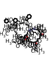 CCNC(=O)N[C@H](Cc1ccccc1)C(=O)N[C@H]1CSSC[C@@H](C(=O)N[C@@H](CSSCCC(=O)N(C)[C@@H](C)C(=O)O[C@H]2CC(=O)N(C)c3cc(cc(OC)c3Cl)C/C(C)=C/C=C/[C@@H](OC)[C@@]3(O)C[C@H](OC(=O)N3)C3(C)C[C@@]2(C)O3)C(=O)NCC)NC(=O)[C@H]([C@@H](C)O)NC(=O)[C@H](CCCCN)NC(=O)[C@@H](Cc2c[nH]c3ccccc23)NC(=O)[C@H](Cc2ccc(O)cc2)NC1=O